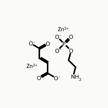 NCCOP(=O)([O-])[O-].O=C([O-])C=CC(=O)[O-].[Zn+2].[Zn+2]